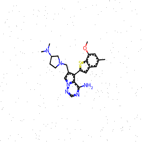 COc1cc(C)cc2cc(-c3c(CN4CC[C@@H](N(C)C)C4)cn4ncnc(N)c34)sc12